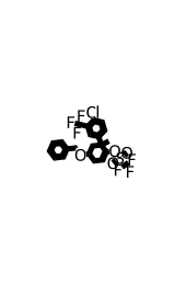 CC1(c2ccc(Cl)c(C(F)(F)F)c2)CC(OCc2ccccc2)CC=C1OS(=O)(=O)C(F)(F)F